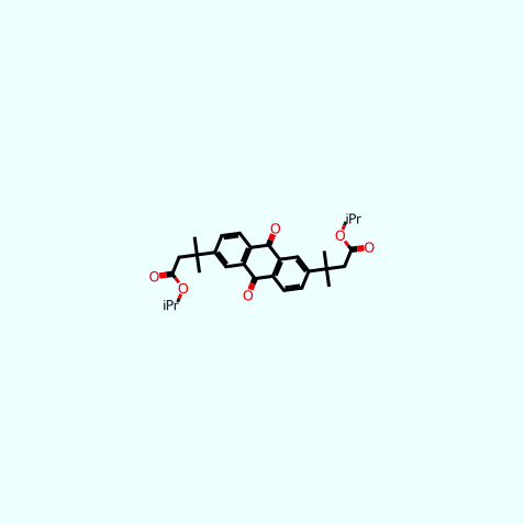 CC(C)OC(=O)CC(C)(C)c1ccc2c(c1)C(=O)c1ccc(C(C)(C)CC(=O)OC(C)C)cc1C2=O